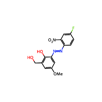 COc1cc(CO)c(O)c(/N=N/c2ccc(F)cc2[N+](=O)[O-])c1